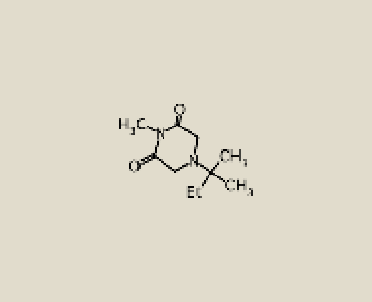 CCC(C)(C)N1CC(=O)N(C)C(=O)C1